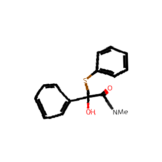 CNC(=O)C(O)(Sc1ccccc1)c1ccccc1